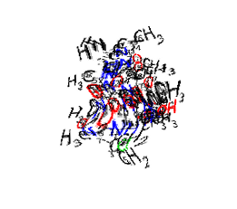 C=C/C(=C\C(=C)Cl)C[C@@H](C(=O)N[C@@H](CC(=C)/C=C\C(=C)C(=O)N(C)O)C(=O)N(C)[C@@H](CC(C)C)C(=O)NC(C=O)[C@@H](C)O)N(C)C(=O)CN(C)C(=O)CC(NC(=O)[C@H](C)N(C)C(=O)[C@H](COC(C)(C)C)NC(=O)[C@H](CC(C)C)N(C)C)C(=O)N1CCCCC1